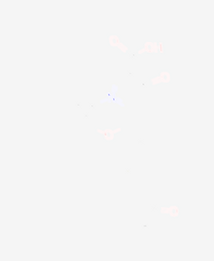 C=C1CCc2sc(-c3ccc4c(=O)c(C(=O)O)cn(C5CC5)c4c3OC)cc2C1=O